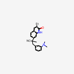 CCc1cc2ccc(C(C)(C#N)Cc3cccc(N(C)C)c3)cc2[nH]c1=O